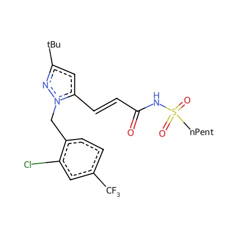 CCCCCS(=O)(=O)NC(=O)C=Cc1cc(C(C)(C)C)nn1Cc1ccc(C(F)(F)F)cc1Cl